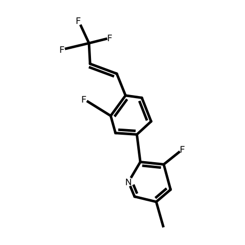 Cc1cnc(-c2ccc(/C=C/C(F)(F)F)c(F)c2)c(F)c1